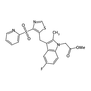 COC(=O)Cn1c(C)c(Cc2scnc2S(=O)(=O)c2ccccn2)c2cc(F)ccc21